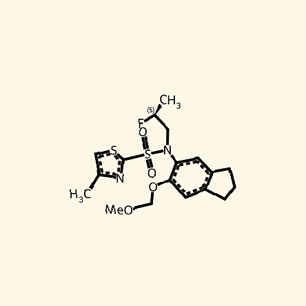 COCOc1cc2c(cc1N(C[C@H](C)F)S(=O)(=O)c1nc(C)cs1)CCC2